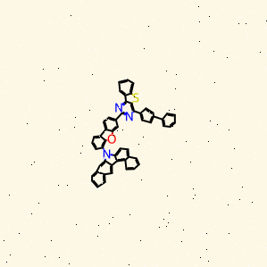 c1ccc(-c2ccc(-c3nc(-c4ccc5c(c4)oc4c(-n6c7cc8ccccc8cc7c7c8ccccc8ccc76)cccc45)nc4c3sc3ccccc34)cc2)cc1